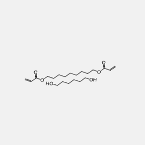 C=CC(=O)OCCCCCCCCCOC(=O)C=C.OCCCCCCO